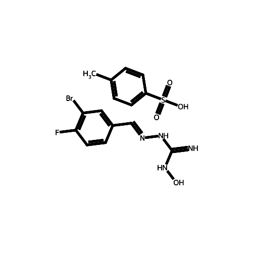 Cc1ccc(S(=O)(=O)O)cc1.N=C(NO)NN=Cc1ccc(F)c(Br)c1